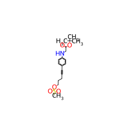 CC(C)(C)OC(=O)CNc1ccc(C#CCCCOS(C)(=O)=O)cc1